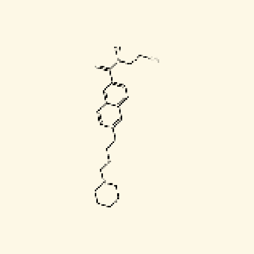 CCCN(C)C(=O)c1ccc2cc(OCCCN3CCCCC3)ccc2c1